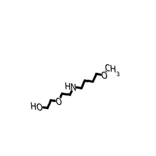 COCCCCNCCOCCO